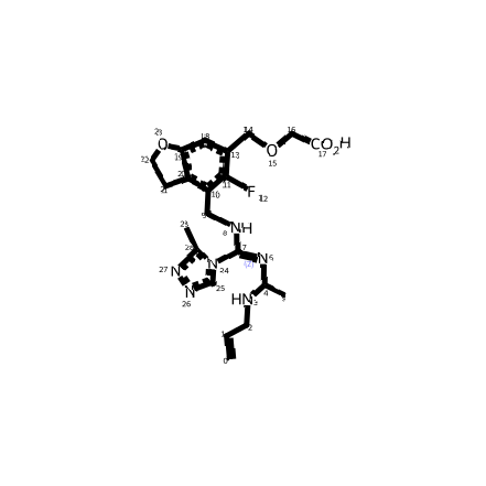 C=CCNC(C)/N=C(/NCc1c(F)c(COCC(=O)O)cc2c1CCO2)n1cnnc1C